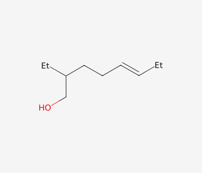 CC/C=C/CCC(CC)CO